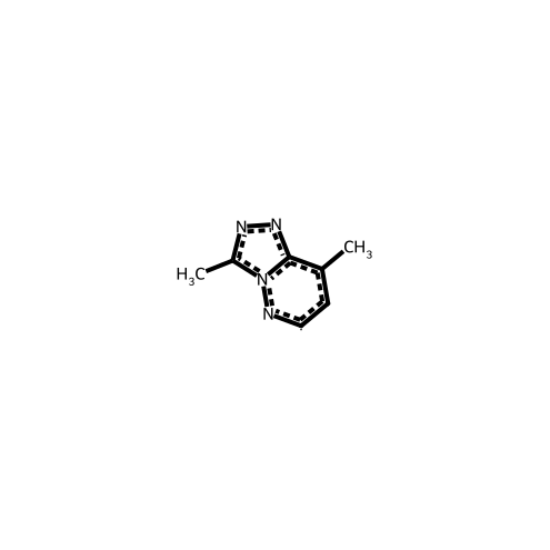 Cc1c[c]nn2c(C)nnc12